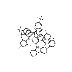 C=CB(c1cc(-n2c3ccccc3c3ccc4c5ccccc5n(-c5ccc(N(c6ccc(C(C)(C)C)cc6)c6ccc(C(C)(C)C)cc6)cc5)c4c32)cc2c1N(C(C)C)c1ccc(C(C)(C)C)cc1B2c1c(C)cc(C)cc1C)c1c(C)cc(C)cc1C